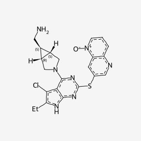 CCc1[nH]c2nc(Sc3cnc4ccc[n+]([O-])c4c3)nc(N3C[C@@H]4[C@@H](CN)[C@@H]4C3)c2c1Cl